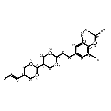 C/C=C/C1COC(C2COC(CCc3cc(F)c(OC(F)F)c(F)c3)OC2)OC1